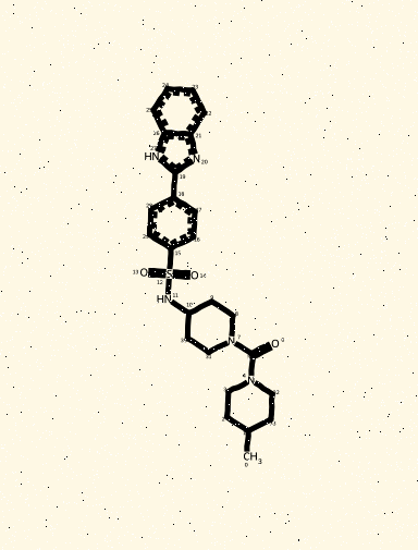 CC1CCN(C(=O)N2CCC(NS(=O)(=O)c3ccc(-c4nc5ccccc5[nH]4)cc3)CC2)CC1